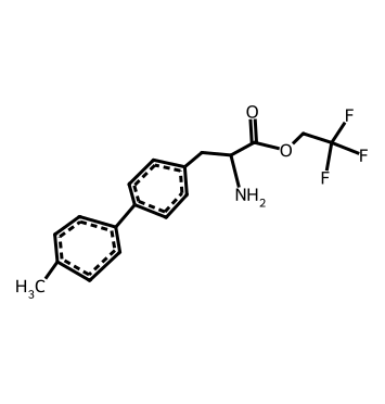 Cc1ccc(-c2ccc(CC(N)C(=O)OCC(F)(F)F)cc2)cc1